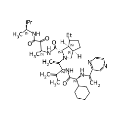 C=C(N[C@H](C(=O)N[C@@H](C(=C)C)C(=C)N1C[C@@H]2CCC(CC)[C@@H]2[C@H]1C(=O)N[C@@H](C)C(=O)C(=O)N[C@@H](C)C(C)C)C1CCCCC1)c1cnccn1